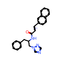 O=C(/C=C/c1ccc2ccccc2c1)NC(Cc1ccccc1)Cn1cncn1